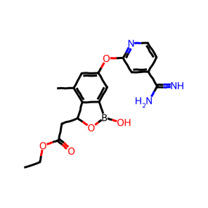 CCOC(=O)CC1OB(O)c2cc(Oc3cc(C(=N)N)ccn3)cc(C)c21